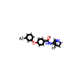 CC(=O)c1cccc(Oc2ccc(C(=O)NC3CN4CC[C@H]3C4)cc2)c1